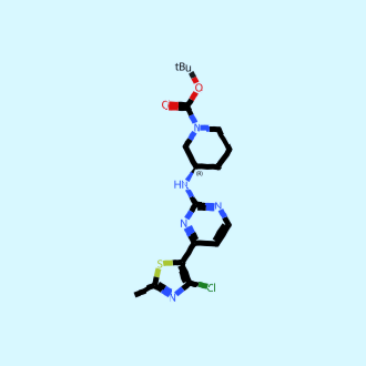 Cc1nc(Cl)c(-c2ccnc(N[C@@H]3CCCN(C(=O)OC(C)(C)C)C3)n2)s1